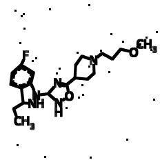 CCC1NN(C2N=C(C3CCN(CCCOC)CC3)ON2)c2cc(F)ccc21